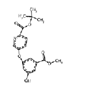 COC(=O)c1cc(O)cc(Oc2ccc(C(=O)OC(C)(C)C)nc2)c1